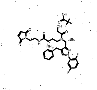 CC(C)(C)[C@H](c1nn(-c2cc(F)ccc2F)cc1Cc1ccccc1)N(CC[C@H](N)C(=O)NCCN1C(=O)C=CC1=O)C(=O)CO.O=C(O)C(F)(F)F